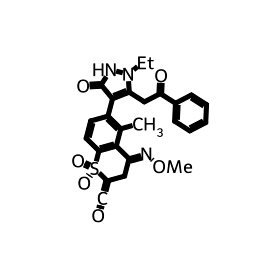 CCn1[nH]c(=O)c(-c2ccc3c(c2C)C(=NOC)CC(=C=O)S3(=O)=O)c1CC(=O)c1ccccc1